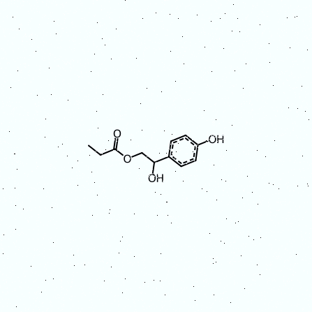 CCC(=O)OCC(O)c1ccc(O)cc1